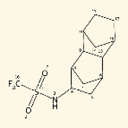 O=S(=O)(NC1CC2CC1C1C3CCC(C3)C21)C(F)(F)F